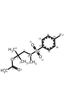 CC(=O)OC(C)(C)CN(C)S(=O)(=O)c1ccc(F)cc1